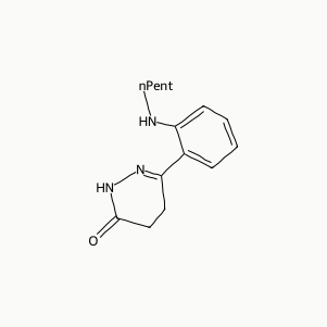 CCCCCNc1ccccc1C1=NNC(=O)CC1